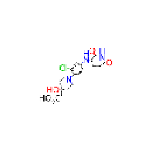 O=C(O)CC1(O)CCN(c2ccc(N[C@@H]3CCC(=O)NC3=O)cc2Cl)CC1